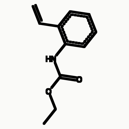 C=Cc1ccccc1NC(=O)OCC